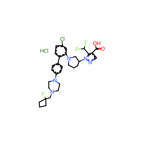 Cl.O=C(O)c1cnn(C2CCCN(c3cc(Cl)ccc3-c3ccc(N4CCN(CC5(F)CCC5)CC4)cc3)C2)c1C(F)F